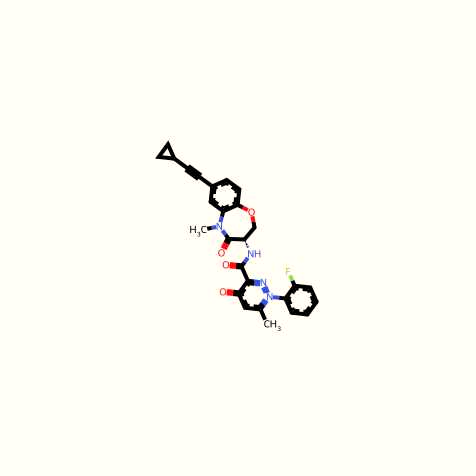 Cc1cc(=O)c(C(=O)N[C@H]2COc3ccc(C#CC4CC4)cc3N(C)C2=O)nn1-c1ccccc1F